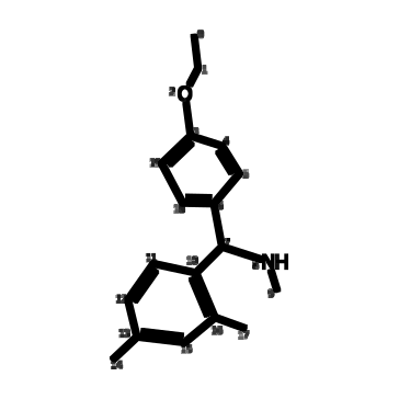 CCOc1ccc(C(NC)c2ccc(C)cc2C)cc1